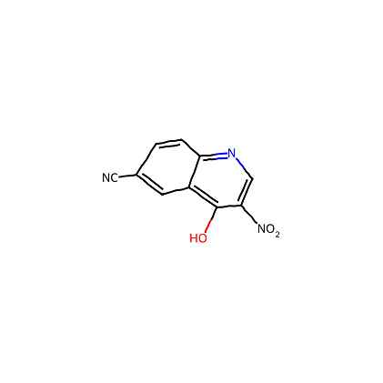 N#Cc1ccc2ncc([N+](=O)[O-])c(O)c2c1